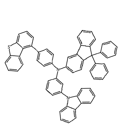 c1ccc(C2(c3ccccc3)c3ccccc3-c3cc(N(c4ccc(-c5cccc6sc7ccccc7c56)cc4)c4cccc(-n5c6ccccc6c6ccccc65)c4)ccc32)cc1